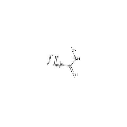 C=C.C=C.N#CNC(=N)N